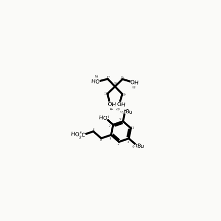 CC(C)(C)c1cc(CCC(=O)O)c(O)c(C(C)(C)C)c1.OCC(CO)(CO)CO